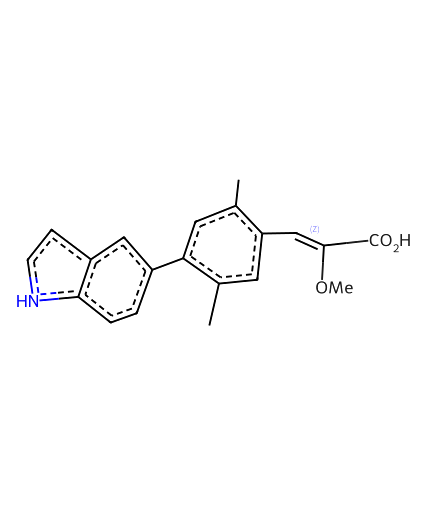 CO/C(=C\c1cc(C)c(-c2ccc3[nH]ccc3c2)cc1C)C(=O)O